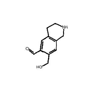 O=Cc1cc2c(cc1CO)CNCC2